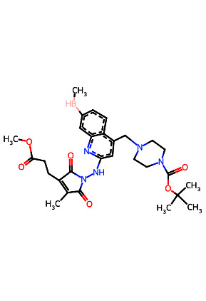 CBc1ccc2c(CN3CCN(C(=O)OC(C)(C)C)CC3)cc(NN3C(=O)C(C)=C(CCC(=O)OC)C3=O)nc2c1